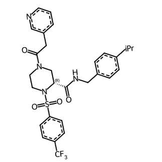 CC(C)c1ccc(CNC(=O)[C@H]2CN(C(=O)Cc3cccnc3)CCN2S(=O)(=O)c2ccc(C(F)(F)F)cc2)cc1